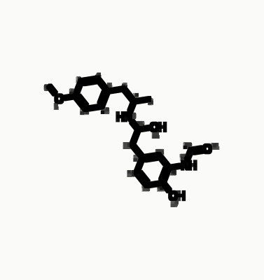 COc1ccc(CC(C)NC(O)Cc2ccc(O)c(NC=O)c2)cc1